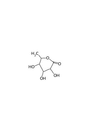 [CH2]C1OC(=O)C(O)C(O)C1O